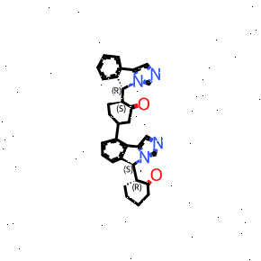 O=C1CC(c2cccc3c2-c2cncn2[C@H]3[C@H]2CCCCC2=O)CC[C@H]1[C@@H]1c2ccccc2-c2cncn21